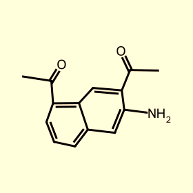 CC(=O)c1cc2c(C(C)=O)cccc2cc1N